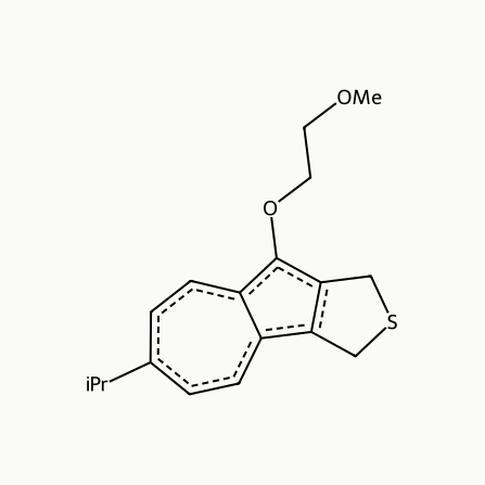 COCCOc1c2ccc(C(C)C)ccc-2c2c1CSC2